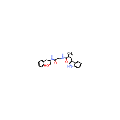 C[C](Cc1c[nH]c2ccccc12)C(=O)NCCC(=O)NC(CO)Cc1ccccc1